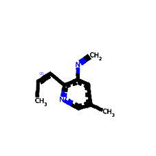 C=Nc1cc(C)cnc1/C=C\C